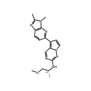 COC[C@@H](C)Nc1ncc2c(-c3ccc4nc(C)n(C)c4n3)ccn2n1